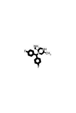 C[C@H]1CN(C(c2ccc(F)cc2)c2ccc(F)cc2)[C@H](CN)CN1